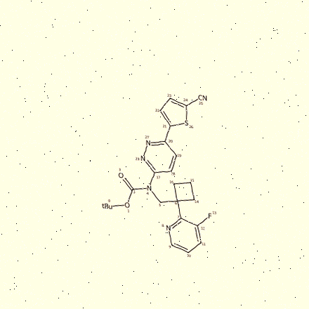 CC(C)(C)OC(=O)N(CC1(c2ncccc2F)CCC1)c1ccc(-c2ccc(C#N)s2)nn1